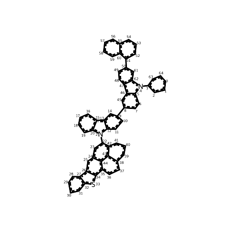 c1ccc(-n2c3ccc(-c4ccc5c(c4)c4ccccc4n5-c4cc5cc6c7ccccc7sc6c6ccc7cccc4c7c56)cc3c3ccc(-c4cccc5ccccc45)cc32)cc1